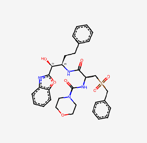 O=C(N[C@H](CCc1ccccc1)[C@H](O)c1nc2ccccc2o1)C(CS(=O)(=O)Cc1ccccc1)NC(=O)N1CCOCC1